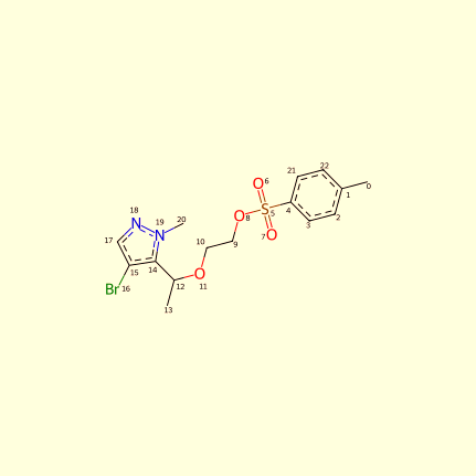 Cc1ccc(S(=O)(=O)OCCOC(C)c2c(Br)cnn2C)cc1